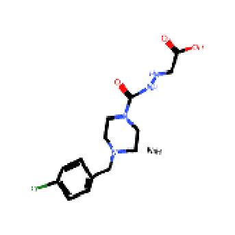 O=C(O)CNNC(=O)N1CCN(Cc2ccc(Cl)cc2)CC1.[NaH]